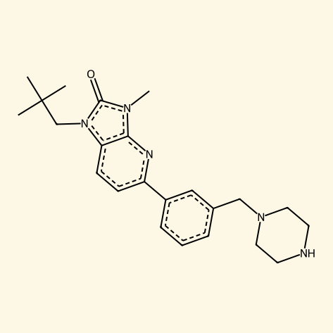 Cn1c(=O)n(CC(C)(C)C)c2ccc(-c3cccc(CN4CCNCC4)c3)nc21